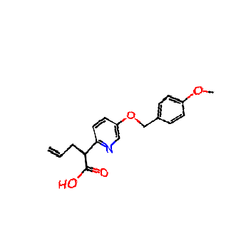 C=CCC(C(=O)O)c1ccc(OCc2ccc(OC)cc2)cn1